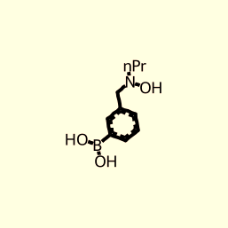 CCCN(O)Cc1cccc(B(O)O)c1